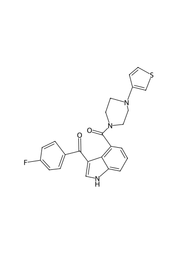 O=C(c1ccc(F)cc1)c1c[nH]c2cccc(C(=O)N3CCN(c4ccsc4)CC3)c12